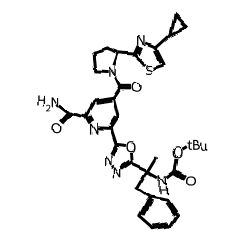 CC(C)(C)OC(=O)NC(C)(Cc1ccccc1)c1nnc(-c2cc(C(=O)N3CCCC3c3nc(C4CC4)cs3)cc(C(N)=O)n2)o1